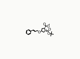 COC(=O)[C@@H]1C[C@H](OC/C=C/c2ccccc2)CN1C(=O)OC(C)(C)C